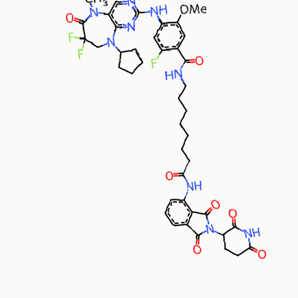 COc1cc(C(=O)NCCCCCCCC(=O)Nc2cccc3c2C(=O)N(C2CCC(=O)NC2=O)C3=O)c(F)cc1Nc1ncc2c(n1)N(C1CCCC1)CC(F)(F)C(=O)N2C